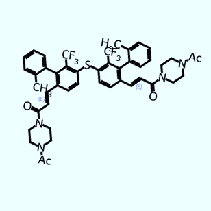 CC(=O)N1CCN(C(=O)/C=C/c2ccc(Sc3ccc(/C=C/C(=O)N4CCN(C(C)=O)CC4)c(-c4ccccc4C)c3C(F)(F)F)c(C(F)(F)F)c2-c2ccccc2C)CC1